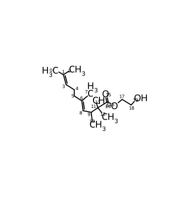 CC(C)=CCC/C(C)=C/C(C)C(C)(C)C(=O)OCCO